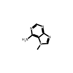 Cn1cnc2n[c]nc(N)c21